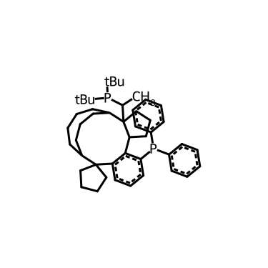 CC(P(C(C)(C)C)C(C)(C)C)C12CCCC1c1c(P(c3ccccc3)c3ccccc3)cccc1C1(CCCC1)C1CCCCC2CCC1